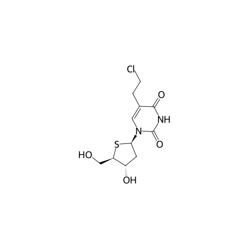 O=c1[nH]c(=O)n([C@H]2C[C@H](O)[C@@H](CO)S2)cc1CCCl